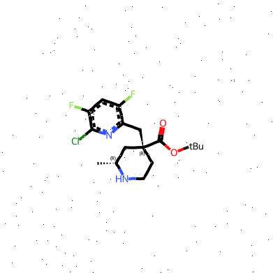 C[C@@H]1C[C@](Cc2nc(Cl)c(F)cc2F)(C(=O)OC(C)(C)C)CCN1